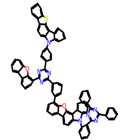 c1ccc(-c2nc(-c3ccccc3)nc(-c3ccccc3-n3c4ccccc4c4c5oc6c(-c7cccc(-c8nc(-c9ccc(-n%10c%11ccccc%11c%11c%12sc%13ccccc%13c%12ccc%11%10)cc9)nc(-c9cccc%10c9oc9ccccc9%10)n8)c7)cccc6c5ccc43)n2)cc1